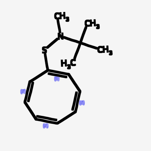 CN(SC1=C/C=C\C=C/C=C\1)C(C)(C)C